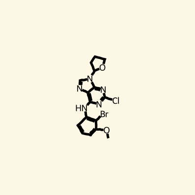 COc1cccc(Nc2nc(Cl)nc3c2ncn3C2CCCO2)c1Br